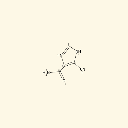 N#Cc1[nH]cnc1C(N)=O